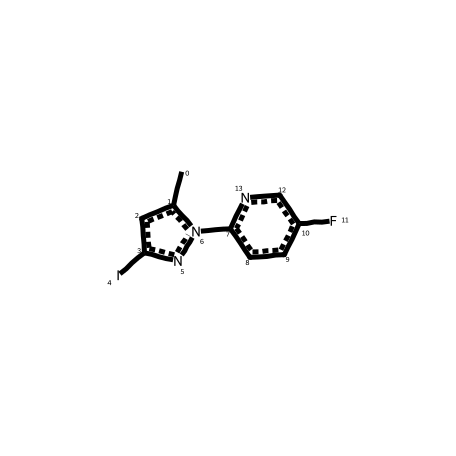 Cc1cc(I)nn1-c1ccc(F)cn1